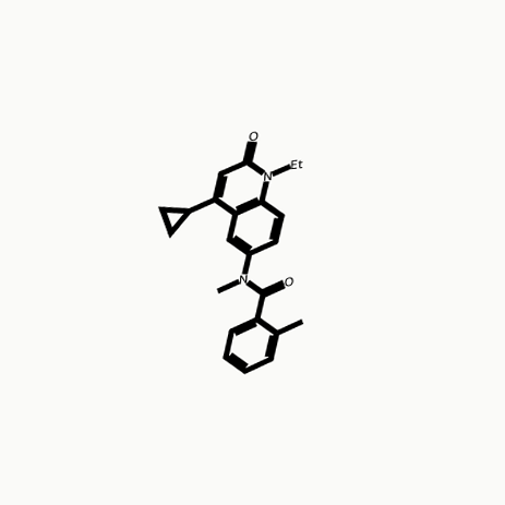 CCn1c(=O)cc(C2CC2)c2cc(N(C)C(=O)c3ccccc3C)ccc21